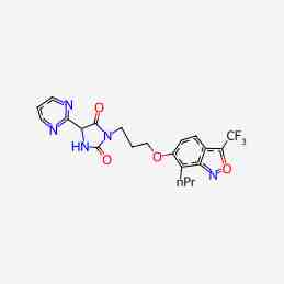 CCCc1c(OCCCN2C(=O)NC(c3ncccn3)C2=O)ccc2c(C(F)(F)F)onc12